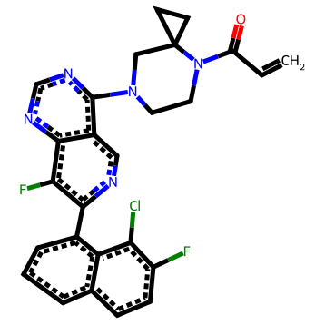 C=CC(=O)N1CCN(c2ncnc3c(F)c(-c4cccc5ccc(F)c(Cl)c45)ncc23)CC12CC2